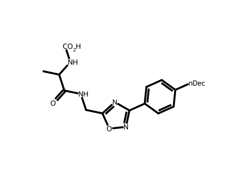 CCCCCCCCCCc1ccc(-c2noc(CNC(=O)C(C)NC(=O)O)n2)cc1